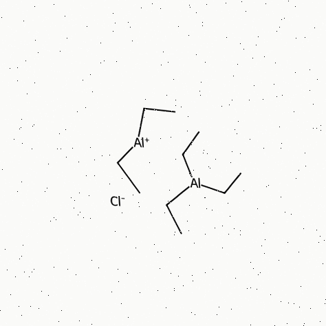 C[CH2][Al+][CH2]C.C[CH2][Al]([CH2]C)[CH2]C.[Cl-]